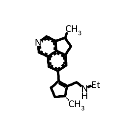 CCNCC1=C(c2cc3c4c(cncc4c2)C(C)C3)CC[C@H]1C